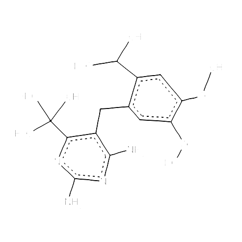 COc1cc(Cc2c(N)nc(N)nc2C(C)(C)C)c(C(C)C)cc1OC